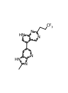 Cc1nc2ncc(-c3c[nH]c4nc(CCC(F)(F)F)ncc34)cc2[nH]1